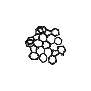 c1ccc2c(c1)c1ccccc1n2-c1c(C2CCCCC2)c(-n2c3ccccc3c3ncccc32)c(C2CCCCC2)c(-n2c3ccccc3c3ccccc32)c1-n1c2ccccc2c2ccccc21